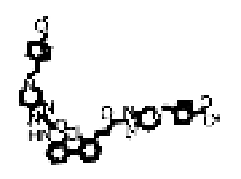 COCC12CCC(CCN3CCc4c(nc(C(=O)Nc5cccc(-c6cccc(C=CC(=O)c7nc8c(n7C)CCN(CC79CCC(C(=O)OC)(CC7)C9)C8)c6Cl)c5C)n4C)C3)(CC1)C2